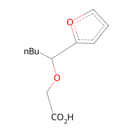 CCCCC(OCC(=O)O)c1ccco1